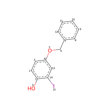 Oc1ccc(OCc2ccccc2)cc1I